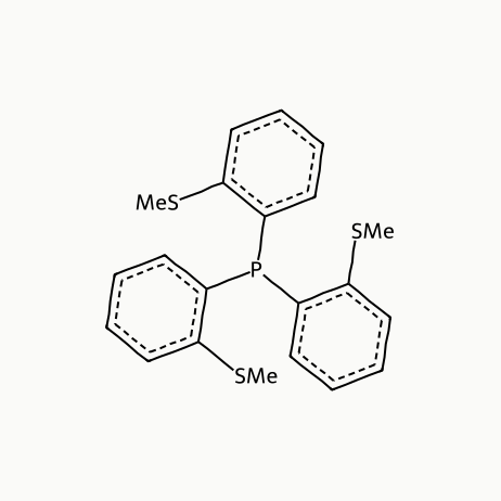 CSc1ccccc1P(c1ccccc1SC)c1ccccc1SC